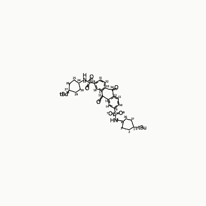 CC(C)(C)C1CCC(NS(=O)(=O)c2ccc3c(c2)C(=O)c2cc(S(=O)(=O)NC4CCC(C(C)(C)C)CC4)ccc2C3=O)CC1